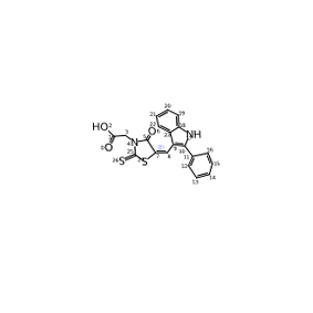 O=C(O)CN1C(=O)/C(=C\c2c(-c3ccccc3)[nH]c3ccccc23)SC1=S